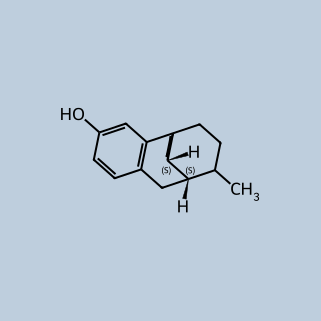 CC1CCC23CCCC[C@H]2[C@H]1Cc1ccc(O)cc13